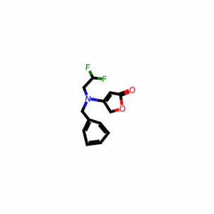 O=C1C=C(N(Cc2ccccc2)CC(F)F)CO1